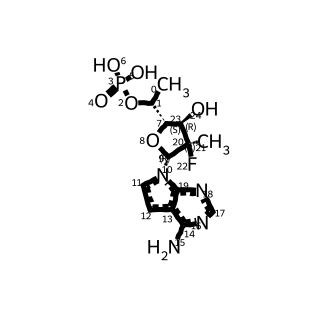 CC(OP(=O)(O)O)[C@H]1O[C@@H](n2ccc3c(N)ncnc32)[C@](C)(F)[C@@H]1O